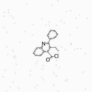 CCc1c(-c2ccccc2)nc2ccccc2c1C(=O)Cl